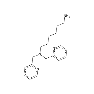 NCCCCCCN(Cc1ccccn1)Cc1ccccn1